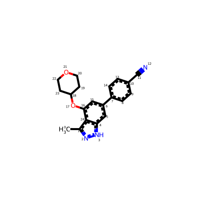 Cc1n[nH]c2cc(-c3ccc(C#N)cc3)cc(OC3CCOCC3)c12